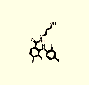 O=C(NOCCCO)C1=C(Nc2ccc(I)cc2F)C(F)[C@@H](F)C=C1